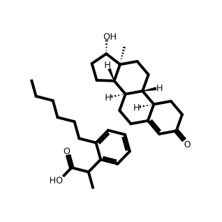 CCCCCCc1ccccc1C(C)C(=O)O.C[C@]12CC[C@H]3[C@@H](CCC4=CC(=O)CC[C@@H]43)[C@@H]1CC[C@@H]2O